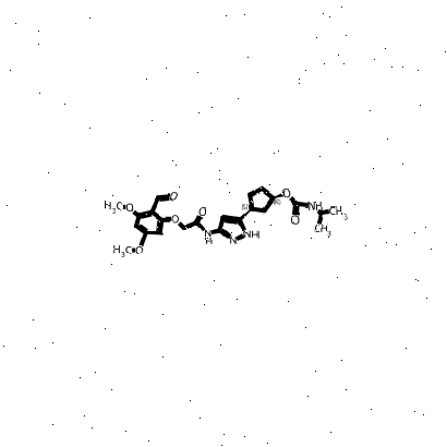 COc1cc(OC)c(C=O)c(OCC(=O)Nc2cc([C@H]3CC[C@@H](OC(=O)NC(C)C)C3)[nH]n2)c1